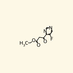 CCOC(=O)CC(=O)c1ncncc1F